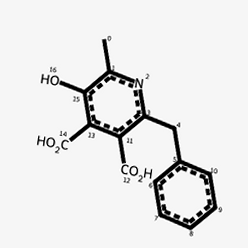 Cc1nc(Cc2ccccc2)c(C(=O)O)c(C(=O)O)c1O